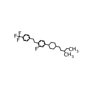 CCC(C)CCC1CCC(c2ccc(CCc3ccc(C(F)(F)F)cc3)c(F)c2)CC1